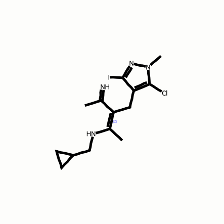 CC(=N)/C(Cc1c(I)nn(C)c1Cl)=C(/C)NCC1CC1